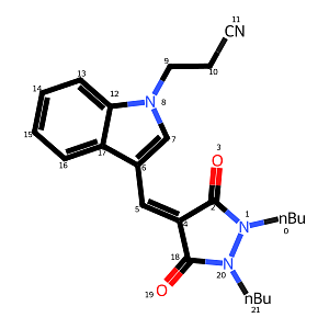 CCCCN1C(=O)C(=Cc2cn(CCC#N)c3ccccc23)C(=O)N1CCCC